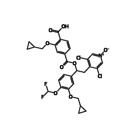 O=C(OC(Cc1c(Cl)c[n+]([O-])cc1Cl)c1ccc(OC(F)F)c(OCC2CC2)c1)c1ccc(C(=O)O)c(OCC2CC2)c1